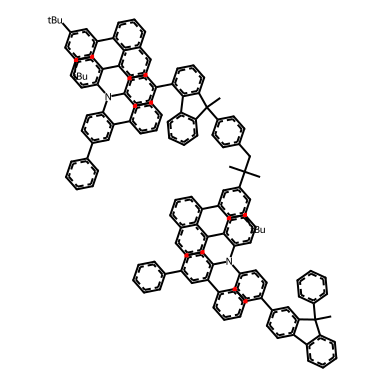 CC(C)(C)c1cc(-c2cccc3cccc(-c4ccccc4N(c4ccc(-c5cccc6c5-c5ccccc5C6(C)c5ccc(CC(C)(C)c6cc(-c7cccc8cccc(-c9ccccc9N(c9ccc(-c%10ccc%11c(c%10)C(C)(c%10ccccc%10)c%10ccccc%10-%11)cc9)c9ccc(-c%10ccccc%10)cc9-c9ccccc9)c78)cc(C(C)(C)C)c6)cc5)cc4)c4ccc(-c5ccccc5)cc4-c4ccccc4)c23)cc(C(C)(C)C)c1